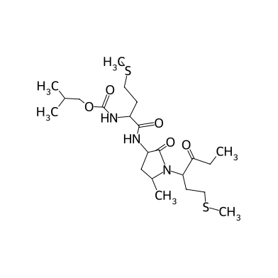 CCC(=O)C(CCSC)N1C(=O)C(NC(=O)C(CCSC)NC(=O)OCC(C)C)CC1C